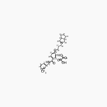 O=C(NCc1cccc(C(F)(F)F)c1)c1ccc(OCCCN2CC3CCCC3C2)cc1.O=C(O)C(=O)O